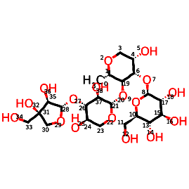 C[C@@H]1OC[C@H](O)[C@H](O[C@@H]2O[C@H](CO)[C@@H](O)[C@H](O)[C@H]2O)[C@H]1O[C@@H]1OC[C@@H](O)[C@H](O[C@@H]2OC[C@](O)(CO)[C@H]2O)[C@H]1O